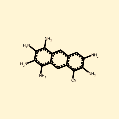 N#Cc1c(N)c(N)cc2cc3c(N)c(N)c(N)c(N)c3cc12